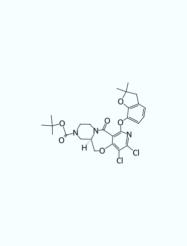 CC(C)(C)OC(=O)N1CCN2C(=O)c3c(Oc4cccc5c4OC(C)(C)C5)nc(Cl)c(Cl)c3OC[C@H]2C1